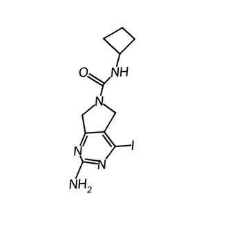 Nc1nc(I)c2c(n1)CN(C(=O)NC1CCC1)C2